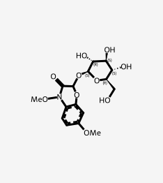 COc1ccc2c(c1)OC(O[C@@H]1O[C@H](CO)[C@@H](O)[C@H](O)[C@H]1O)C(=O)N2OC